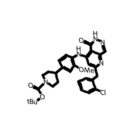 COc1cc(C2CCN(C(=O)OC(C)(C)C)CC2)ccc1Nc1cc(Cc2ccccc2Cl)nc2cn[nH]c(=O)c12